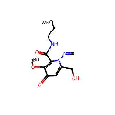 C=Nn1c(CO)cc(=O)c(OCCCC)c1C(=O)NCCOC